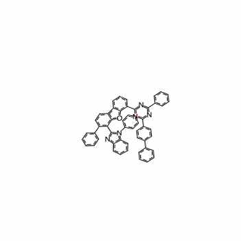 c1ccc(-c2ccc(-c3nc(-c4ccccc4)nc(-c4cccc5c4oc4c(-c6nc7ccccc7n6-c6ccccc6)c(-c6ccccc6)ccc45)n3)cc2)cc1